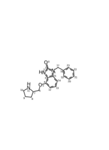 O=c1[nH]c2c(OCC3CCCN3)cccc2n1Cc1ccccc1